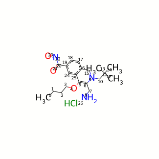 CCCCOC1=C(CN)N(CC(C)(C)C)Cc2ccc(C(=O)N=O)cc21.Cl